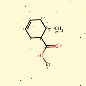 CCOC(=O)C1CC=CC[C@@H]1C